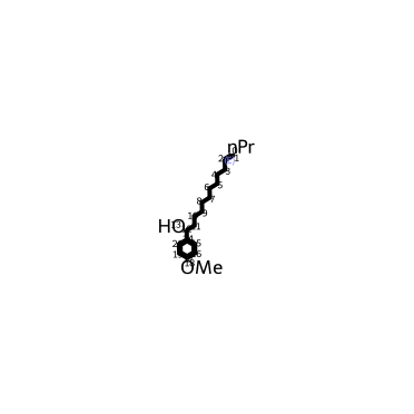 CCC/C=C/CCCCCCCCCC(O)c1ccc(OC)cc1